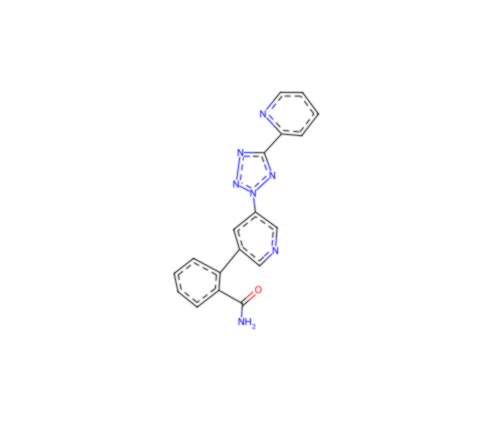 NC(=O)c1ccccc1-c1cncc(-n2nnc(-c3ccccn3)n2)c1